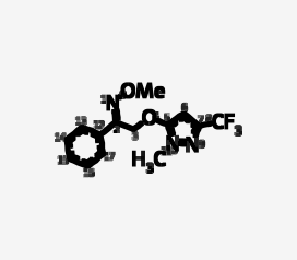 CON=C(COc1cc(C(F)(F)F)nn1C)c1ccccc1